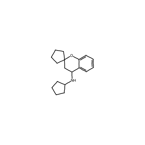 c1ccc2c(c1)OC1(CCCC1)CC2NC1CCCC1